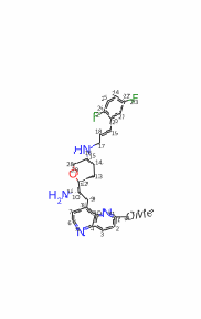 COc1ccc2nccc(C[C@H](N)[C@@H]3CC[C@@H](NC/C=C/c4cc(F)ccc4F)CO3)c2n1